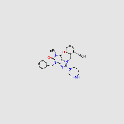 C#Cc1ccccc1Cn1c(N2CCCNCC2)nc2c1c(=O)n(CCC)c(=O)n2Cc1ccccc1